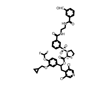 O=Cc1cccc(C(=O)NCCNC(=O)c2cccc(S(=O)(=O)N3CCS[C@H]3C(=O)OC(Cc3c(Cl)cncc3Cl)c3ccc(OC(F)F)c(OCC4CC4)c3)c2)c1